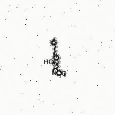 COc1ccc2nccc(CCC[C@@H]3CCN(CCCCc4ccc(C)s4)C[C@@H]3C(=O)O)c2c1